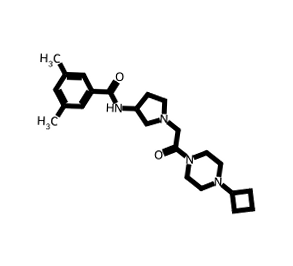 Cc1cc(C)cc(C(=O)NC2CCN(CC(=O)N3CCN(C4CCC4)CC3)C2)c1